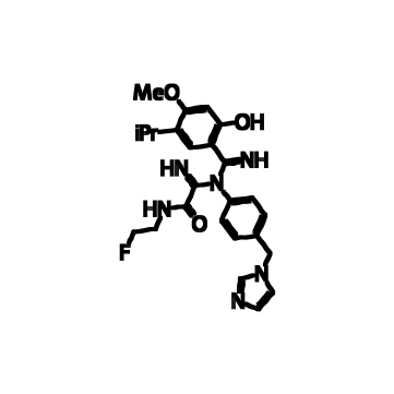 COc1cc(O)c(C(=N)N(C(=N)C(=O)NCCF)c2ccc(Cn3ccnc3)cc2)cc1C(C)C